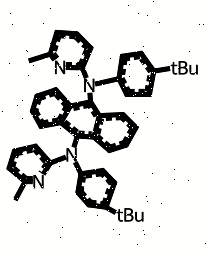 Cc1cccc(N(c2ccc(C(C)(C)C)cc2)c2c3ccccc3c(N(c3ccc(C(C)(C)C)cc3)c3cccc(C)n3)c3ccccc23)n1